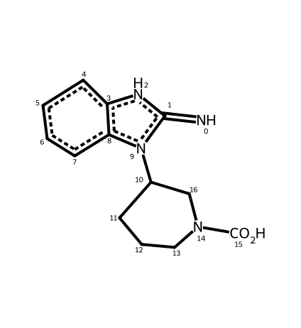 N=c1[nH]c2ccccc2n1C1CCCN(C(=O)O)C1